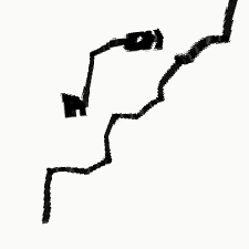 CC(C)CO.CCCCCCCC